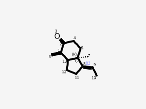 C=C1C(=O)CC[C@@]2(C)/C(=C/C)CCC12